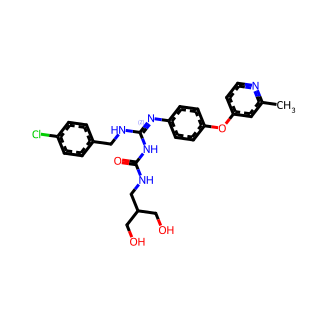 Cc1cc(Oc2ccc(/N=C(/NCc3ccc(Cl)cc3)NC(=O)NCC(CO)CO)cc2)ccn1